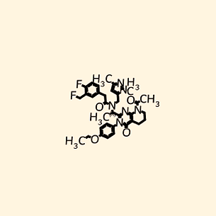 CCOc1ccc(-n2c([C@@H](C)N(Cc3cc(C)nn3C)C(=O)Cc3ccc(F)c(CF)c3)nc3c(c2=O)CCCN3C(C)=O)cc1